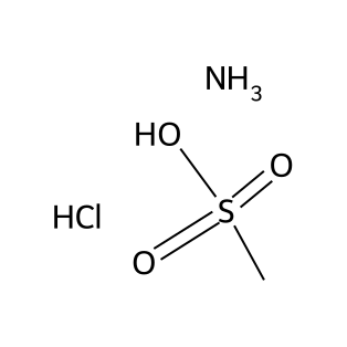 CS(=O)(=O)O.Cl.N